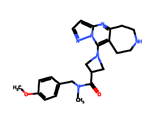 COc1ccc(CN(C)C(=O)C2CN(c3c4c(nc5ccnn35)CCNCC4)C2)cc1